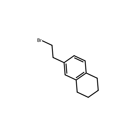 BrCCc1ccc2c(c1)CCCC2